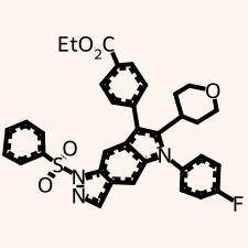 CCOC(=O)c1ccc(-c2c(C3CCOCC3)n(-c3ccc(F)cc3)c3cc4cnn(S(=O)(=O)c5ccccc5)c4cc23)cc1